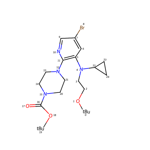 CC(C)(C)OCCN(c1cc(Br)cnc1N1CCN(C(=O)OC(C)(C)C)CC1)C1CC1